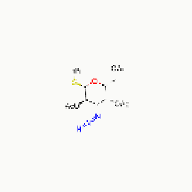 CCCS[C@H]1O[C@H](COC(C)=O)[C@H](OC(C)=O)[C@H](N=[N+]=[N-])[C@H]1OC(C)=O